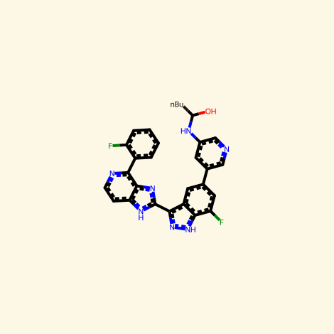 CCCCC(O)Nc1cncc(-c2cc(F)c3[nH]nc(-c4nc5c(-c6ccccc6F)nccc5[nH]4)c3c2)c1